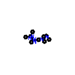 c1ccc(-c2cc(-c3ccccc3)nc(-c3nc(-c4ccc(-n5c6ccccc6c6c7c(ccc65)ccn7-c5ccccc5)cc4)nc4ccccc34)n2)cc1